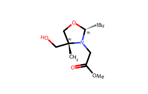 COC(=O)CN1[C@@H](C(C)(C)C)OC[C@@]1(C)CO